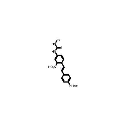 CC(=O)Nc1ccc(/C=C/c2ccc(NC(=S)NC(C)C)cc2S(=O)(=O)O)cc1